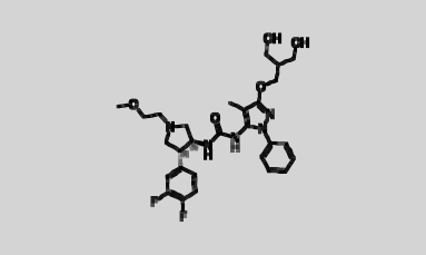 COCCN1C[C@@H](NC(=O)Nc2c(C)c(OCC(CO)CO)nn2-c2ccccc2)[C@H](c2ccc(F)c(F)c2)C1